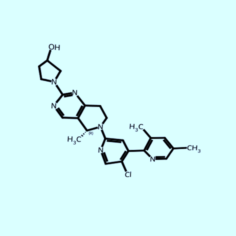 Cc1cnc(-c2cc(N3CCc4nc(N5CCC(O)C5)ncc4[C@H]3C)ncc2Cl)c(C)c1